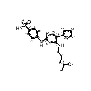 CC(=O)OCCNc1nc(Nc2ccc(S(C)(=N)=O)cc2)ncc1-c1cccs1